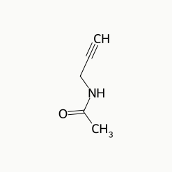 C#CCNC(C)=O